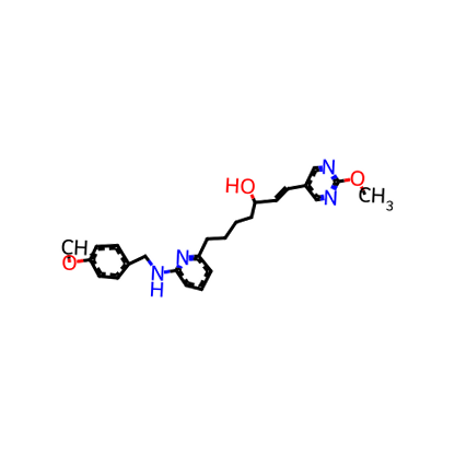 COc1ccc(CNc2cccc(CCCCC(O)C=Cc3cnc(OC)nc3)n2)cc1